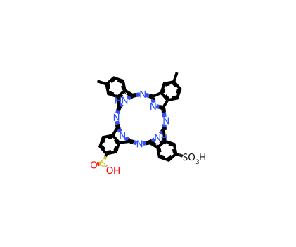 Cc1ccc2c(c1)-c1nc-2nc2[nH]c(nc3nc(nc4[nH]c(n1)c1ccc(C)cc41)-c1ccc(S(=O)O)cc1-3)c1ccc(S(=O)(=O)O)cc21